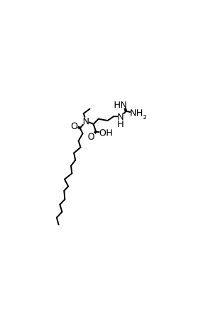 CCCCCCCCCCCCCCCC(=O)N(CC)C(CCCNC(=N)N)C(=O)O